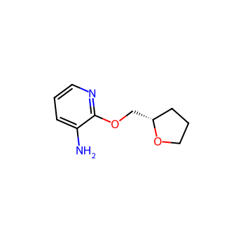 Nc1cccnc1OC[C@@H]1CCCO1